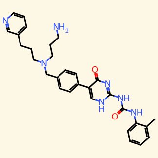 Cc1ccccc1NC(=O)Nc1nc(=O)c(-c2ccc(CN(CCCN)CCCc3cccnc3)cc2)c[nH]1